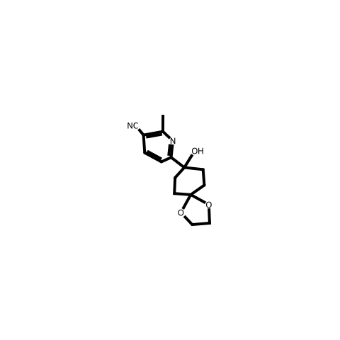 Cc1nc(C2(O)CCC3(CC2)OCCO3)ccc1C#N